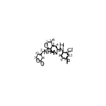 CC(C)c1cc(Nc2ccc(F)cc2Cl)ncc1C(=O)NCC1CCOC(=O)C1